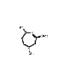 COC1=N[C@H](C(C)C)CC[C@@H](C)C1